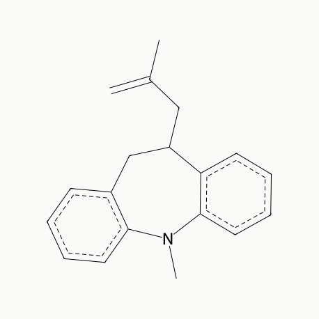 C=C(C)CC1Cc2ccccc2N(C)c2ccccc21